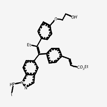 CCOC(=O)/C=C/c1ccc(/C(=C(/CC)c2ccc(OCCO)cc2)c2ccc3c(cnn3PI)c2)cc1